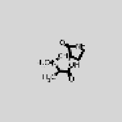 CC(C(=O)O)N(C)C.O=C1CCCN1